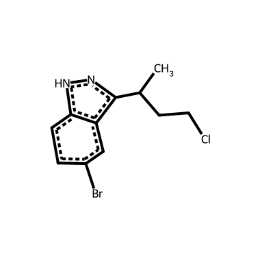 CC(CCCl)c1n[nH]c2ccc(Br)cc12